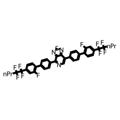 CCCC(F)(F)C(F)(F)c1ccc(-c2ccc(-c3cnc(-c4ccc(-c5ccc(C(F)(F)C(F)(F)CCC)cc5F)cc4)c4nsnc34)cc2)c(F)c1